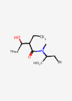 CCCCCCC(O)C(CC(F)(F)F)C(=O)N(C)C(CC(C)C)C(=O)O